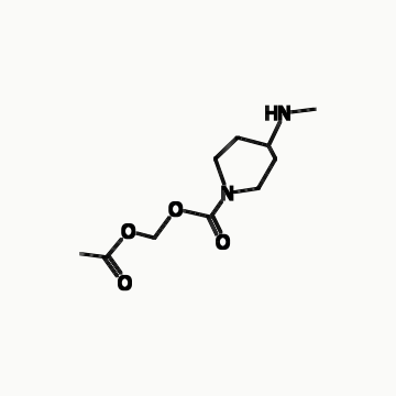 CNC1CCN(C(=O)OCOC(C)=O)CC1